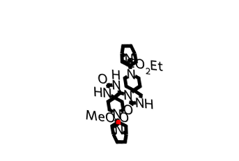 CCOC(=O)N1C2C=C(N3CCC4(CC3)CNC(=O)N4C3NC(=O)NC34CCN(C3=CC5CCC(C3)N5C(=O)OC)CC4)CC1CC2